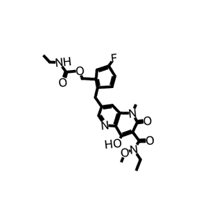 CCNC(=O)OCc1cc(F)ccc1Cc1cnc2c(O)c(C(=O)N(CC)OC)c(=O)n(C)c2c1